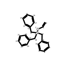 C=CO[Si](Cc1ccccc1)(Cc1ccccc1)Cc1ccccc1